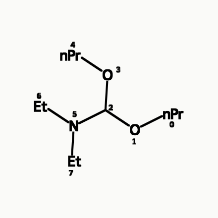 CCCOC(OCCC)N(CC)CC